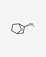 [CH2]C1CC2CCC1O2